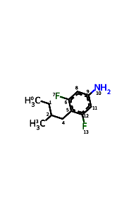 CCC(C)Cc1c(F)cc(N)cc1F